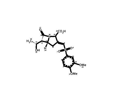 COc1ccc(S(=O)(=O)/C=C2\C[C@@H]3[C@H]([C@@H](C)O)C(=O)N3C2C(=O)O)cc1OC